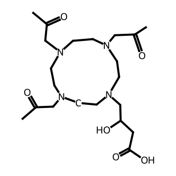 CC(=O)CN1CCN(CC(C)=O)CCN(CC(O)CC(=O)O)CCN(CC(C)=O)CC1